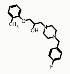 Cc1ccccc1OCC(O)CN1CCN(Cc2ccc(F)cc2)CC1